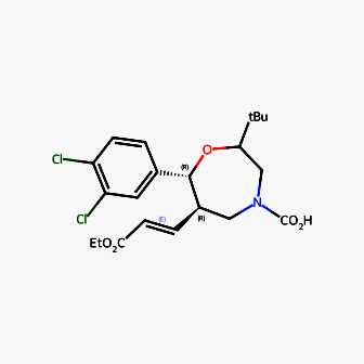 CCOC(=O)/C=C/[C@@H]1CN(C(=O)O)CC(C(C)(C)C)O[C@H]1c1ccc(Cl)c(Cl)c1